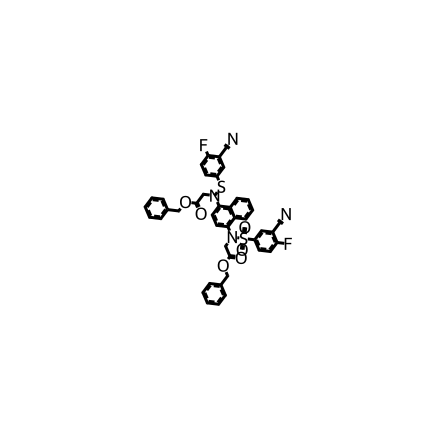 N#Cc1cc(SN(CC(=O)OCc2ccccc2)c2ccc(N(CC(=O)OCc3ccccc3)S(=O)(=O)c3ccc(F)c(C#N)c3)c3ccccc23)ccc1F